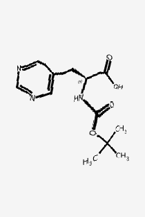 CC(C)(C)OC(=O)N[C@@H](Cc1cncnc1)C(=O)O